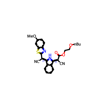 CCCCOCCOC(=O)/C(C#N)=c1\[nH]/c(=C(/C#N)c2nc3ccc(OC)cc3s2)c2ccccc12